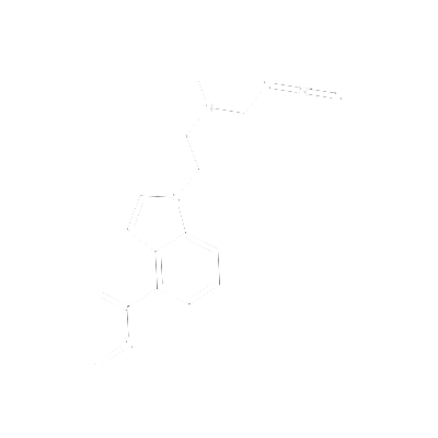 CN(CCn1ccc2c(C(=O)N=O)cccc21)CN=[N+]=[N-]